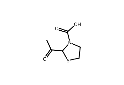 CC(=O)C1SCCN1C(=O)O